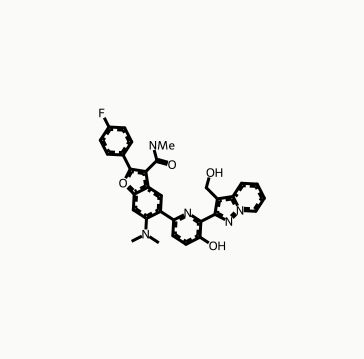 CNC(=O)c1c(-c2ccc(F)cc2)oc2cc(N(C)C)c(-c3ccc(O)c(-c4nn5ccccc5c4CO)n3)cc12